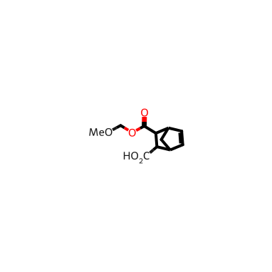 COCOC(=O)C1C2C=CC(C2)C1C(=O)O